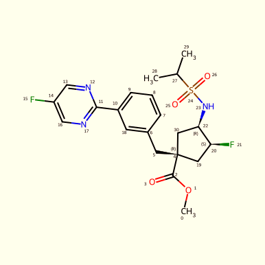 COC(=O)[C@@]1(Cc2cccc(-c3ncc(F)cn3)c2)C[C@H](F)[C@H](NS(=O)(=O)C(C)C)C1